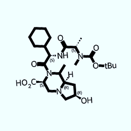 CC1[C@H]2C[C@@H](O)CN2C[C@@H](C(=O)O)N1C(=O)[C@@H](NC(=O)[C@H](C)N(C)C(=O)OC(C)(C)C)C1CCCCC1